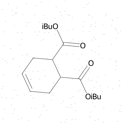 CC(C)COC(=O)C1CC=CCC1C(=O)OCC(C)C